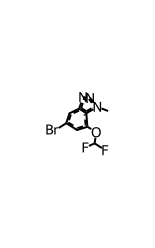 Cn1nnc2cc(Br)cc(OC(F)F)c21